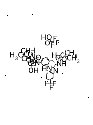 CC(C)(C)OC(=O)N[C@@H](Cc1ccc(N(CC(=O)O)S(=O)(=O)NC(=O)OC(C)(C)C)cc1)c1nc2cc(C(F)(F)F)ccc2[nH]1.O=C(O)C(F)(F)F